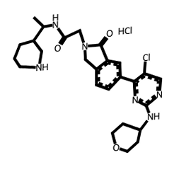 CC(NC(=O)CN1Cc2ccc(-c3nc(NC4CCOCC4)ncc3Cl)cc2C1=O)C1CCCNC1.Cl